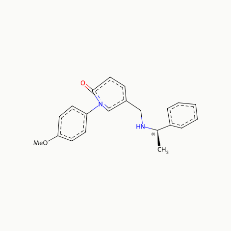 COc1ccc(-n2cc(CN[C@H](C)c3ccccc3)ccc2=O)cc1